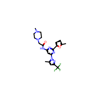 Cc1ccc(-c2nc(NC(=O)CN3CCN(C)CC3)cc(-n3nc(C(F)(F)F)cc3C)n2)o1